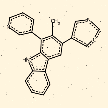 Cc1c(-c2cccnc2)cc2c([nH]c3ccccc32)c1-c1cccnc1